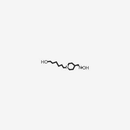 OCCCCCCN1CCC(C=NO)CC1